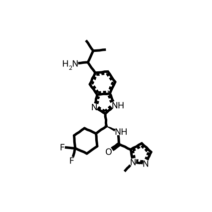 CC(C)C(N)c1ccc2[nH]c([C@@H](NC(=O)c3ccnn3C)C3CCC(F)(F)CC3)nc2c1